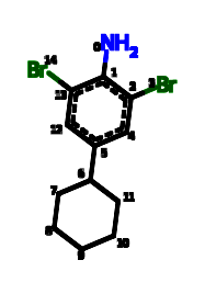 Nc1c(Br)cc(C2CCCCC2)cc1Br